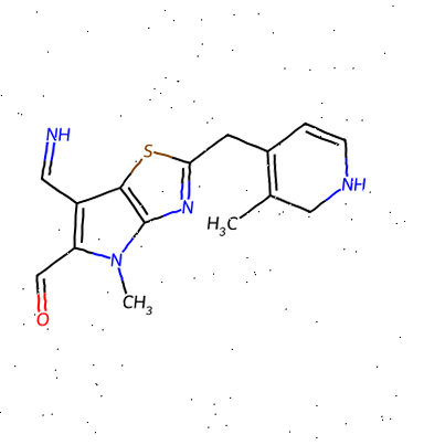 CC1=C(Cc2nc3c(s2)c(C=N)c(C=O)n3C)C=CNC1